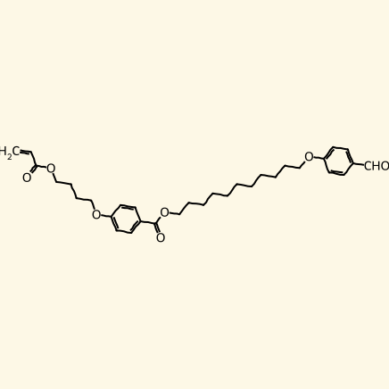 C=CC(=O)OCCCCOc1ccc(C(=O)OCCCCCCCCCCCOc2ccc(C=O)cc2)cc1